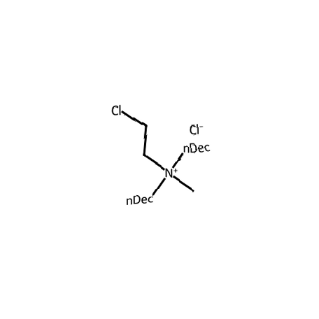 CCCCCCCCCC[N+](C)(CCCl)CCCCCCCCCC.[Cl-]